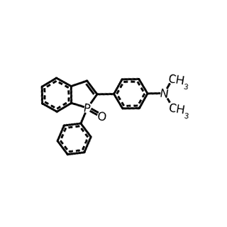 CN(C)c1ccc(C2=Cc3ccccc3P2(=O)c2ccccc2)cc1